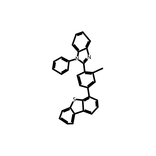 Cc1cc(-c2cccc3c2sc2ccccc23)ccc1-c1nc2ccccc2n1-c1ccccc1